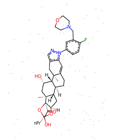 CCC[C@H]1O[C@@H]2C[C@H]3[C@@H]4CCC5=Cc6c(cnn6-c6ccc(F)c(CN7CCOCC7)c6)C[C@]5(C)[C@H]4[C@@H](O)C[C@]3(C)[C@]2(C(=O)CO)O1